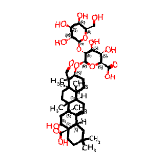 CC1(C)CC[C@]2(C(=O)O)[C@H](O)C[C@]3(C)C(=CC[C@@H]4[C@@]5(C)CC[C@H](O[C@@H]6O[C@H](C(=O)O)[C@@H](O)[C@H](O)[C@H]6O[C@@H]6O[C@H](CO)[C@H](O)[C@H](O)[C@H]6O)[C@@](C)(C=O)[C@@H]5CC[C@]43C)[C@@H]2C1